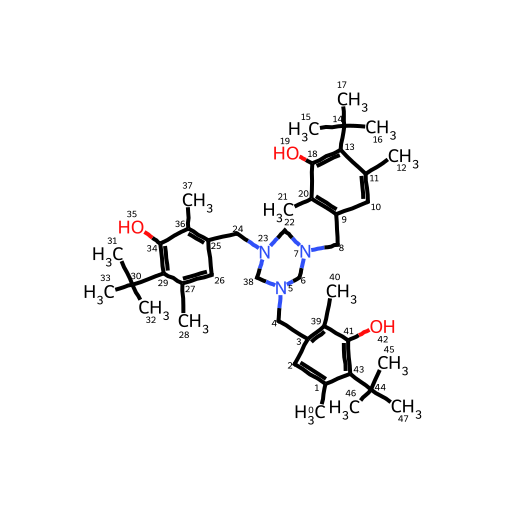 Cc1cc(CN2CN(Cc3cc(C)c(C(C)(C)C)c(O)c3C)CN(Cc3cc(C)c(C(C)(C)C)c(O)c3C)C2)c(C)c(O)c1C(C)(C)C